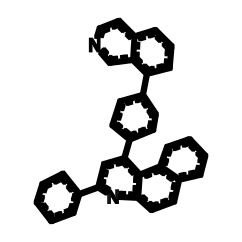 c1ccc(-c2cc(-c3ccc(-c4cccc5ccncc45)cc3)c3c(ccc4ccccc43)n2)cc1